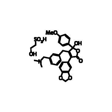 COc1ccc(C2(O)OC(=O)C(c3ccc4c(c3)OCO4)=C2Cc2cccc(CN(C)C)c2)cc1.O=S(=O)(O)CCO